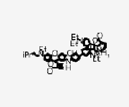 CCN(CC)c1ccc(C2(c3c(C)n(CC)c4cc(-c5ccc(Nc6cc7c(cc6C)Oc6cc(N(CC)CCC(C)C)ccc6C76OC(=O)c7ccccc76)cc5)ccc34)OC(=O)c3cccnc32)c(C)c1